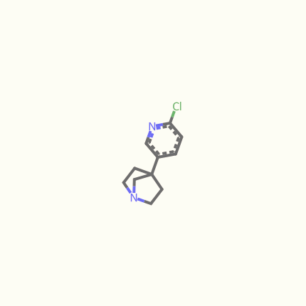 Clc1ccc(C23CCN(CC2)C3)cn1